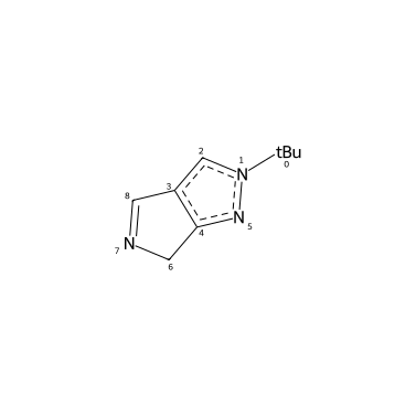 CC(C)(C)n1cc2c(n1)CN=C2